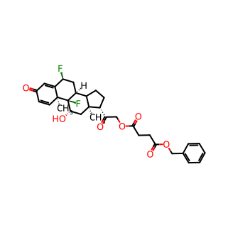 C[C@]12C[C@H](O)[C@@]3(F)[C@@H](C[C@H](F)C4=CC(=O)C=C[C@@]43C)C1CC[C@@H]2C(=O)COC(=O)CCC(=O)OCc1ccccc1